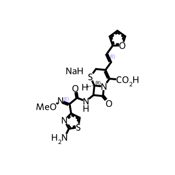 CO/N=C(/C(=O)NC1C(=O)N2C(C(=O)O)=C(/C=C/c3ccco3)CS[C@H]12)c1csc(N)n1.[NaH]